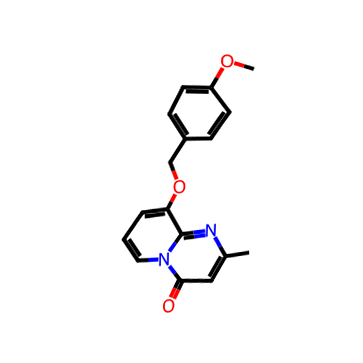 COc1ccc(COc2cccn3c(=O)cc(C)nc23)cc1